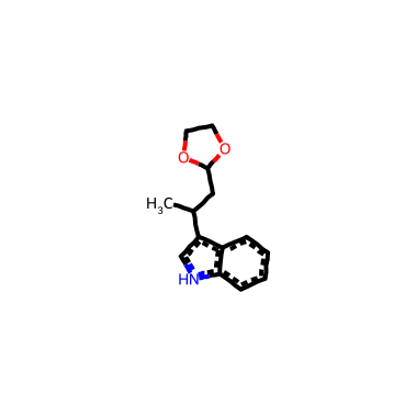 CC(CC1OCCO1)c1c[nH]c2ccccc12